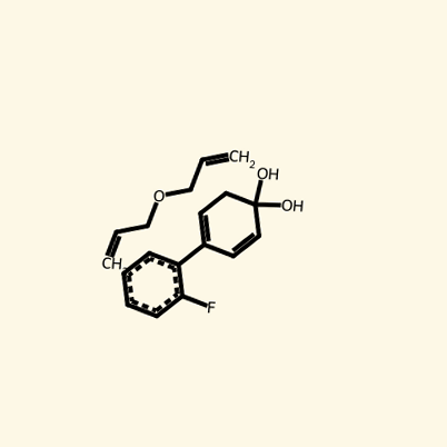 C=CCOCC=C.OC1(O)C=CC(c2ccccc2F)=CC1